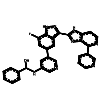 OC(Nc1cncc(-c2cc(F)c3[nH]nc(-c4nc5c(-c6cccnc6)nccc5[nH]4)c3c2)c1)c1ccccc1